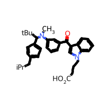 CC(C)Cc1ccc(C(N(C)c2cccc(C(=O)c3cn(CCCC(=O)O)c4ccccc34)c2)C(C)(C)C)cc1